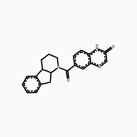 O=C(c1ccc2[nH]c(=O)cnc2c1)N1CCCC2c3ccccc3CC21